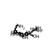 C[C@H](N)CCCc1cc(-c2cc3c([nH]2)=NC(O)N(c2ccc([C@H](CCCO)NCCCNC(=N)N)cc2)C=3)cc(C(F)(F)F)c1